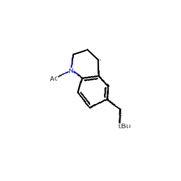 CC(=O)N1CC[CH]c2cc(CC(C)(C)C)ccc21